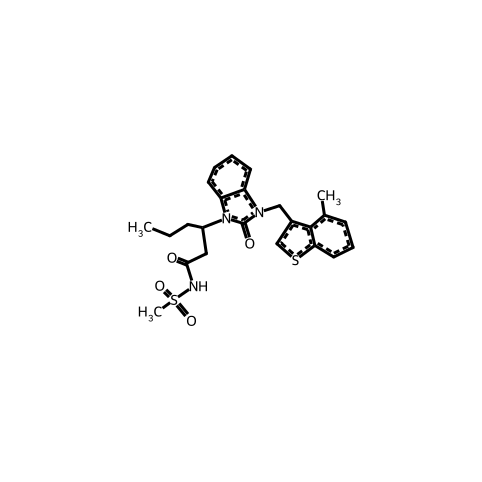 CCCC(CC(=O)NS(C)(=O)=O)n1c(=O)n(Cc2csc3cccc(C)c23)c2ccccc21